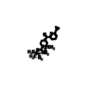 CC(C)(C)OC(=O)N1CCN(C(=O)c2cccc(C3CC3)n2)CC1(C)C